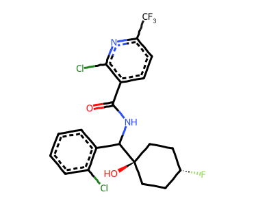 O=C(NC(c1ccccc1Cl)[C@]1(O)CC[C@H](F)CC1)c1ccc(C(F)(F)F)nc1Cl